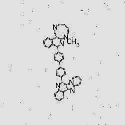 Cn1ccccncc2c3ccccc3c(-c3ccc(-c4ccc(-c5nc6ccccc6c6nc7ccccn7c56)cc4)cc3)nc21